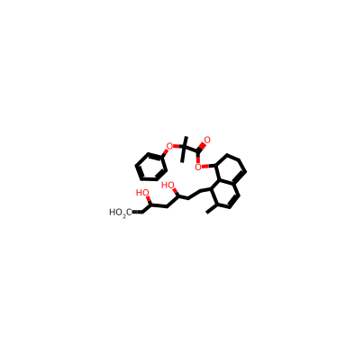 CC1C=CC2=CCCC(OC(=O)C(C)(C)Oc3ccccc3)C2C1CCC(O)CC(O)CC(=O)O